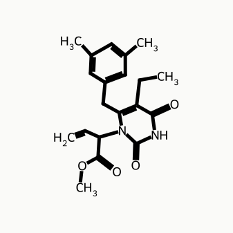 C=CC(C(=O)OC)n1c(Cc2cc(C)cc(C)c2)c(CC)c(=O)[nH]c1=O